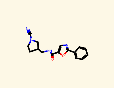 N#CN1CCC(CNC(=O)c2cnc(-c3ccccc3)o2)C1